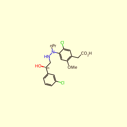 CCCN(NC[C@H](O)c1cccc(Cl)c1)c1cc(OC)c(CC(=O)O)cc1Cl